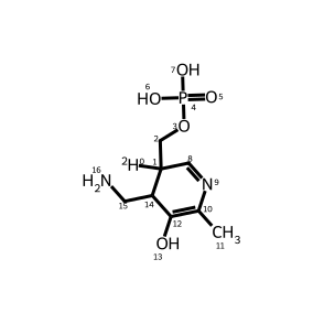 [2H]C1(COP(=O)(O)O)C=NC(C)=C(O)C1CN